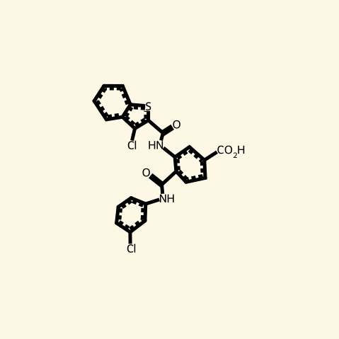 O=C(O)c1ccc(C(=O)Nc2cccc(Cl)c2)c(NC(=O)c2sc3ccccc3c2Cl)c1